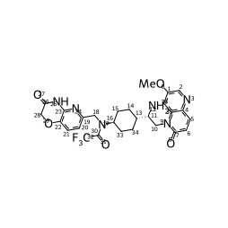 COc1cnc2ccc(=O)n(CC(N)[C@H]3CC[C@H](N(Cc4ccc5c(n4)NC(=O)CO5)C(=O)C(F)(F)F)CC3)c2c1